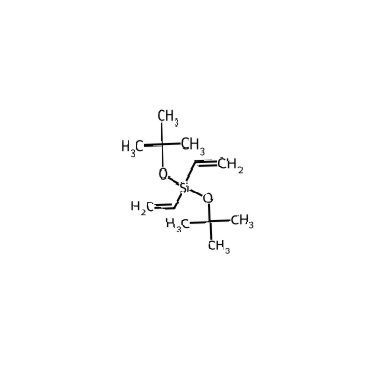 C=C[Si](C=C)(OC(C)(C)C)OC(C)(C)C